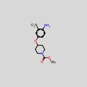 CC(C)(C)OC(=O)N1CCC(Oc2ccc(N)c([N+](=O)[O-])c2)CC1